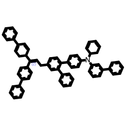 C1=CCC(N(c2ccc(-c3ccc(C/C=C(\c4ccc(-c5ccccc5)cc4)C4C=CC(c5ccccc5)=CC4)cc3-c3ccccc3)cc2)c2cccc(-c3ccccc3)c2)C=C1